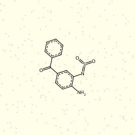 Nc1ccc(C(=O)c2ccccc2)cc1N=S(=O)=O